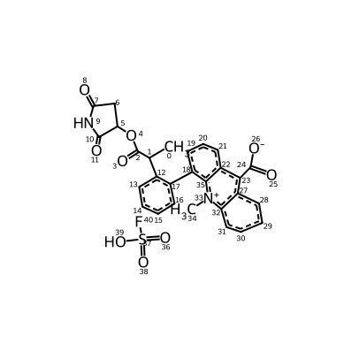 CC(C(=O)OC1CC(=O)NC1=O)c1ccccc1-c1cccc2c(C(=O)[O-])c3ccccc3[n+](C)c12.O=S(=O)(O)F